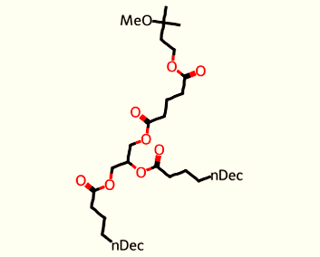 CCCCCCCCCCCCCC(=O)OCC(COC(=O)CCCC(=O)OCCC(C)(C)OC)OC(=O)CCCCCCCCCCCCC